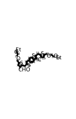 CCOCCOCc1cc(C=O)c(Cc2cc3cc4sc(Cc5sc(COCCOCC)cc5C=O)cc4cc3s2)s1